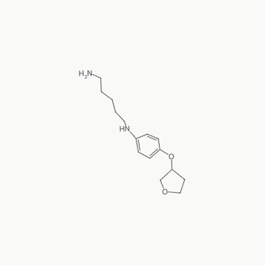 NCCCCCNc1ccc(OC2CCOC2)cc1